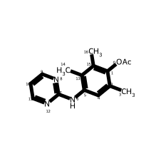 CC(=O)Oc1c(C)cc(Nc2ncccn2)c(C)c1C